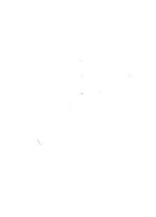 Cc1ccc(C)c(-c2cc(/C=C/C3CC=C(Br)S3)ccc2/C=C/C2CC=C(Br)S2)c1